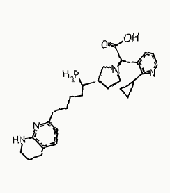 O=C(O)C(c1cccnc1C1CC1)N1CC[C@@H](C(P)CCCCc2ccc3c(n2)NCCC3)C1